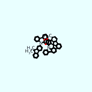 CC1C=CC2=C(C1c1ccc(N(c3ccc4c(c3)C(C)(C)c3ccccc3-4)c3ccccc3-c3ccccc3)cc1)C1(c3ccccc32)c2ccccc2-n2c3ccccc3c3cccc1c32